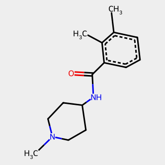 Cc1cccc(C(=O)NC2CCN(C)CC2)c1C